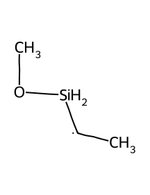 C[CH][SiH2]OC